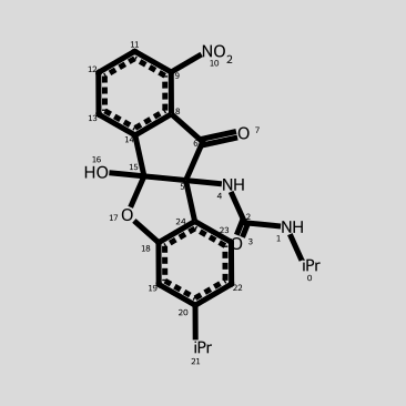 CC(C)NC(=O)NC12C(=O)c3c([N+](=O)[O-])cccc3C1(O)Oc1cc(C(C)C)ccc12